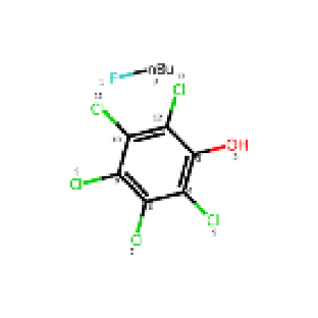 CCCCF.Oc1c(Cl)c(Cl)c(Cl)c(Cl)c1Cl